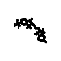 Cc1ccc2c(c1)C(C)(C)C(/C=C/C=C1/N(C)c3ccc(C(F)(F)F)cc3C1(C)C)=[N+]2C